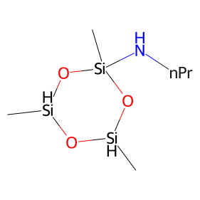 CCCN[Si]1(C)O[SiH](C)O[SiH](C)O1